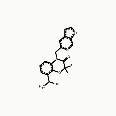 CC(O)c1cccc2c1OC(F)(F)C(=O)N2Cc1cc2ccoc2cn1